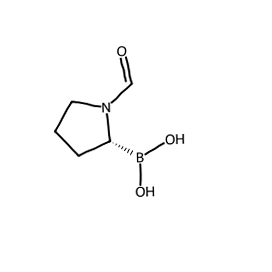 O=CN1CCC[C@H]1B(O)O